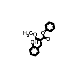 COC=C(Cc1ccccc1O)C(=O)Oc1ccccc1